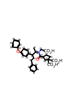 CC(C(CCc1ccccc1)c1ccc(Oc2ccccc2)cc1)N(CC(=O)O)C(=O)C1CCC(C(=O)O)(C(=O)O)C1